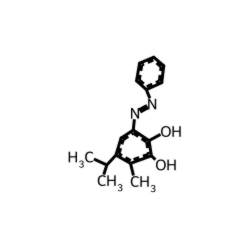 Cc1c(C(C)C)cc(N=Nc2ccccc2)c(O)c1O